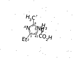 CC(=O)O.CCc1c[nH]c(C)n1